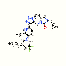 Cc1nc(-c2nnn(C)c2CN2CCN(CC3CC3)C2=O)ccc1N1CC(CC(=O)O)CC(F)(F)C1